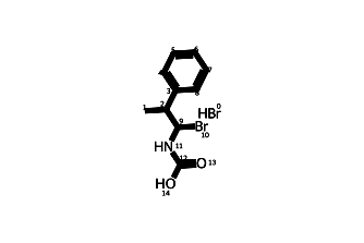 Br.CC(c1ccccc1)C(Br)NC(=O)O